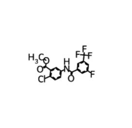 COC(=O)c1cc(NC(=O)c2cc(F)cc(C(F)(F)F)c2)ccc1Cl